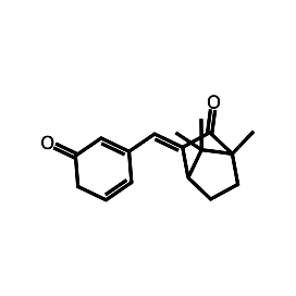 CC12CCC(C(=CC3=CC(=O)CC=C3)C1=O)C2(C)C